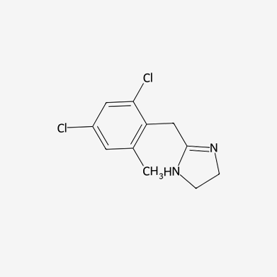 Cc1cc(Cl)cc(Cl)c1CC1=NCCN1